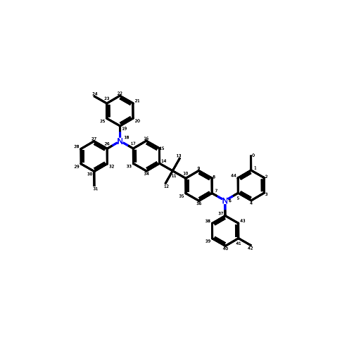 Cc1cccc(N(c2ccc(C(C)(C)c3ccc(N(c4cccc(C)c4)c4cccc(C)c4)cc3)cc2)c2cccc(C)c2)c1